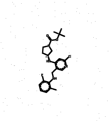 Cc1cccc(F)c1NCc1cnc(Cl)cc1N[C@H]1CCN(C(=O)OC(C)(C)C)C1